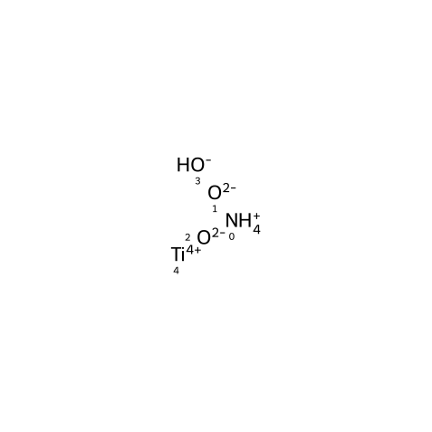 [NH4+].[O-2].[O-2].[OH-].[Ti+4]